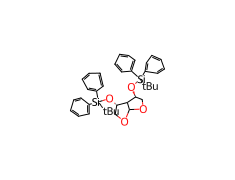 CC(C)(C)[Si](O[C@H]1COC2OC[C@H](O[Si](c3ccccc3)(c3ccccc3)C(C)(C)C)C21)(c1ccccc1)c1ccccc1